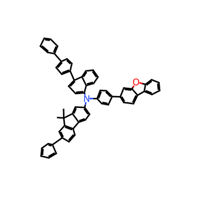 CC1(C)c2cc(-c3ccccc3)ccc2-c2ccc(N(c3ccc(-c4ccc5c(c4)oc4ccccc45)cc3)c3ccc(-c4ccc(-c5ccccc5)cc4)c4ccccc34)cc21